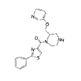 O=C(c1csc(-c2ccccc2)n1)N1CCNCC1COc1cccnc1